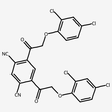 N#Cc1[c]c(C#N)c(C(=O)COc2ccc(Cl)cc2Cl)cc1C(=O)COc1ccc(Cl)cc1Cl